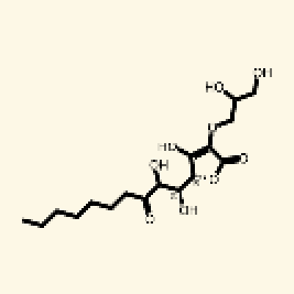 CCCCCCCC(=O)C(O)[C@H](O)[C@H]1OC(=O)C(OCC(O)CO)=C1O